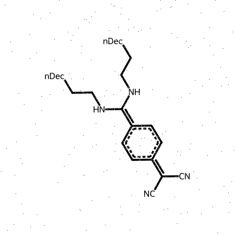 CCCCCCCCCCCCNC(NCCCCCCCCCCCC)=c1ccc(=C(C#N)C#N)cc1